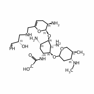 CN[C@@H]1CC(O[C@@H]2[C@@H](N)[C@H](O[C@H]3OC(CNC[C@H](O)C=P)=CC[C@H]3N)[C@@H](N)C[C@H]2NC(=O)CO)OC[C@H]1C